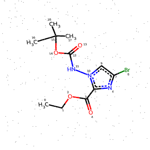 CCOC(=O)c1nc(Br)cn1NC(=O)OC(C)(C)C